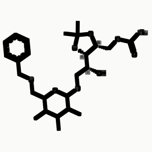 CC1C(COCc2ccccc2)OC(OC[C@@H](O)[C@@H]2OC(C)(C)O[C@@H]2COC(=O)C(C)(C)C)C(C)C1C